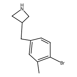 Cc1cc(CC2CNC2)ccc1Br